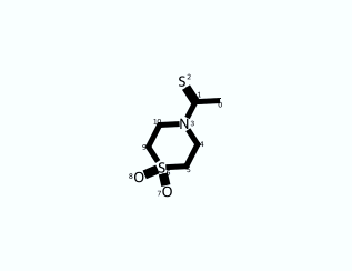 CC(=S)N1CCS(=O)(=O)CC1